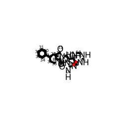 N=C1NC(CN2C(=O)CCC2=O)C2NCNCNC23[C@H](O)[C@@H](OC(=O)N2CCC(c4ccccc4)CC2)CN13